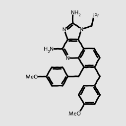 COc1ccc(Cc2ccc3c(nc(N)c4nc(N)n(CC(C)C)c43)c2Cc2ccc(OC)cc2)cc1